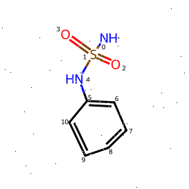 [NH]S(=O)(=O)Nc1ccccc1